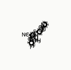 CC1(O)CC(F)(F)CCC1Oc1nc(NC2CCN(S(=O)(=O)c3ccccn3)CC2F)ncc1C#N